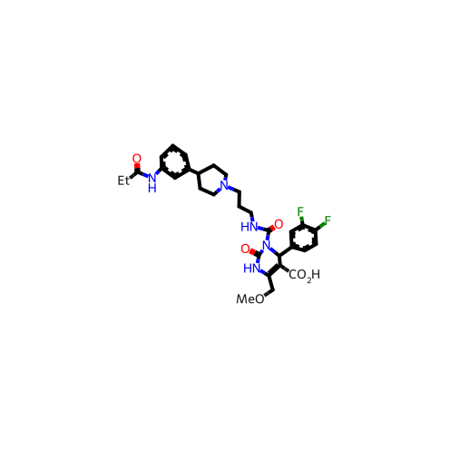 CCC(=O)Nc1cccc(C2CCN(CCCNC(=O)N3C(=O)NC(COC)=C(C(=O)O)C3c3ccc(F)c(F)c3)CC2)c1